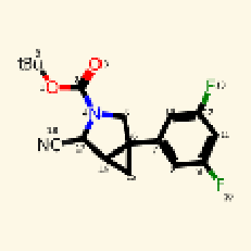 CC(C)(C)OC(=O)N1CC2(c3cc(F)cc(F)c3)CC2C1C#N